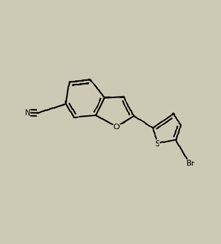 N#Cc1ccc2cc(-c3ccc(Br)s3)oc2c1